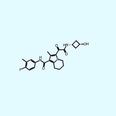 Cc1cc(NC(=O)c2c(C)c(C(=O)C(=O)N[C@H]3C[C@H](O)C3)n3c2CCCC3)ccc1F